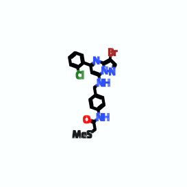 CSCC(=O)Nc1ccc(CNc2cc(-c3ccccc3Cl)nc3c(Br)cnn23)cc1